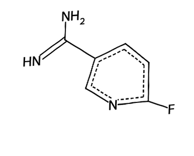 N=C(N)c1ccc(F)nc1